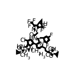 Cn1nc(NS(=O)(=O)C2(C)CC2)c2c(Cl)ccc(-c3ccc(CCC(C)(C)S(=O)(=O)C4CC4)nc3[C@H](Cc3cc(F)cc(F)c3)NC(=O)Cn3nc(C(F)(F)F)c4c3C(F)(F)[C@@H]3CC43)c21